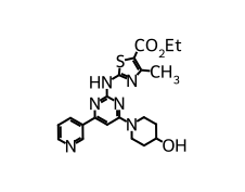 CCOC(=O)c1sc(Nc2nc(-c3cccnc3)cc(N3CCC(O)CC3)n2)nc1C